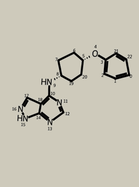 c1ccc(O[C@H]2CC[C@@H](Nc3ncnc4[nH]ncc34)CC2)cc1